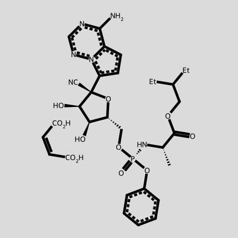 CCC(CC)COC(=O)[C@H](C)N[P@](=O)(OC[C@H]1O[C@@](C#N)(c2ccc3c(N)ncnn23)[C@H](O)[C@@H]1O)Oc1ccccc1.O=C(O)/C=C\C(=O)O